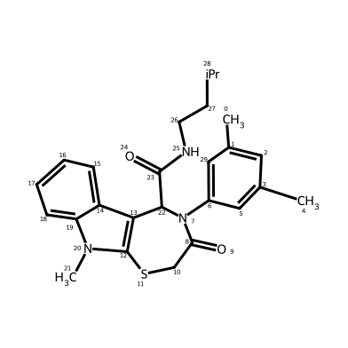 Cc1cc(C)cc(N2C(=O)CSc3c(c4ccccc4n3C)C2C(=O)NCCC(C)C)c1